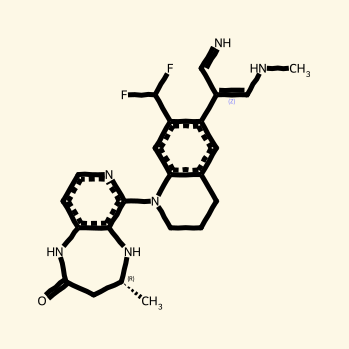 CN/C=C(\C=N)c1cc2c(cc1C(F)F)N(c1nccc3c1N[C@H](C)CC(=O)N3)CCC2